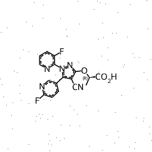 C[C@@H](Oc1nn(-c2ncccc2F)c(-c2ccc(F)nc2)c1C#N)C(=O)O